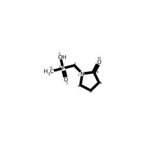 CP(=O)(O)CN1CCCC1=O